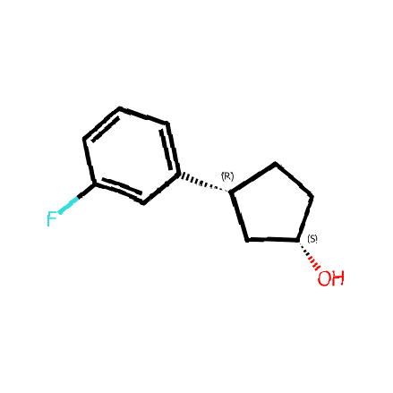 O[C@H]1CC[C@@H](c2cccc(F)c2)C1